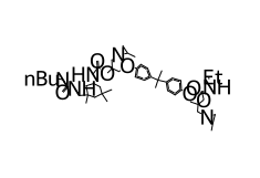 CCCCN(C)C(=O)NCC1(C)CC(NC(=O)OC(COc2ccc(C(C)(C)c3ccc(OCC(CN4CC4C)OC(=O)NCC)cc3)cc2)CN2CC2C)CC(C)(C)C1